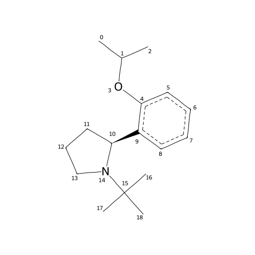 CC(C)Oc1ccccc1[C@@H]1CCCN1C(C)(C)C